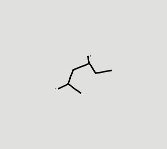 [CH2]C(C)CC([CH2])CC